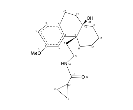 COc1ccc2c(c1)[C@@]1(CCNC(=O)C3CC3)CCCC[C@@]1(O)CC2